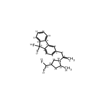 C=C(Cc1ccc2c(c1)-c1ccccc1C2(F)F)N1CC(C(F)F)CC1C